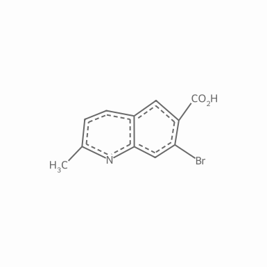 Cc1ccc2cc(C(=O)O)c(Br)cc2n1